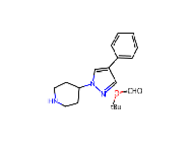 CC(C)(C)OC=O.c1ccc(-c2cnn(C3CCNCC3)c2)cc1